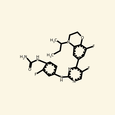 CCC(C)N1CCOc2c(F)cc(-c3nc(Nc4ccc(NC(N)=O)c(F)c4)ncc3F)cc21